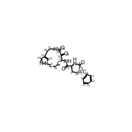 CC(C)CC(NC(=O)OCc1ccccc1)C(=O)NC1CCCn2cc(cn2)CCNC(=O)C1=O